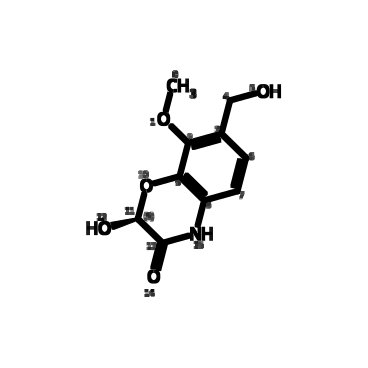 COc1c(CO)ccc2c1O[C@H](O)C(=O)N2